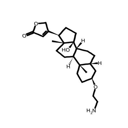 C[C@]12CC[C@H](OCCN)C[C@H]1CC[C@@H]1[C@@H]2CC[C@]2(C)[C@@H](C3=CC(=O)OC3)CC[C@]12O